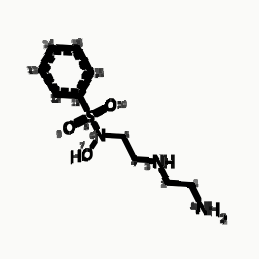 NCCNCCN(O)S(=O)(=O)c1ccccc1